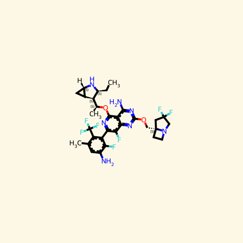 CC[C@@H]1N[C@H]2CC2[C@@H]1[C@H](C)Oc1nc(-c2c(F)c(N)cc(C)c2C(F)(F)F)c(F)c2nc(OC[C@@]34CCN3CC(F)(F)C4)nc(N)c12